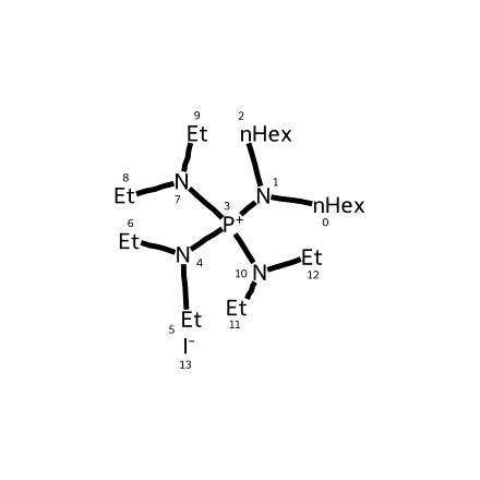 CCCCCCN(CCCCCC)[P+](N(CC)CC)(N(CC)CC)N(CC)CC.[I-]